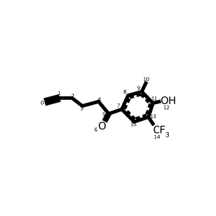 C#CCCCC(=O)c1cc(C)c(O)c(C(F)(F)F)c1